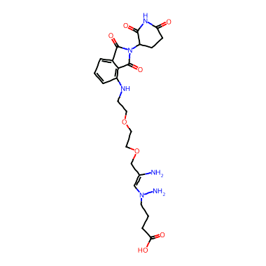 N/C(=C\N(N)CCCC(=O)O)COCCOCCNc1cccc2c1C(=O)N(C1CCC(=O)NC1=O)C2=O